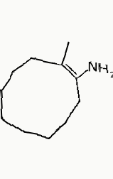 C/C1=C(\N)CCCCCCCC1